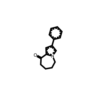 O=C1CCCCn2cc(-c3ccccc3)cc21